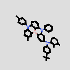 CC1=C(N(C2=CC3C(C=C2)B2c4cc(C)ccc4N(c4ccc(C)cc4)c4cccc(c42)N3c2ccccc2)c2ccc(C(C)(C)C)cc2)C=CCC1C